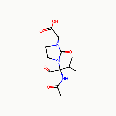 CC(=O)N[C@]([C]=O)(C(C)C)N1CCN(CC(=O)O)C1=O